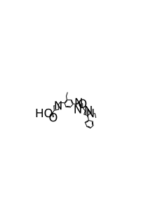 CCc1cc(-c2noc(C3=NN(CC)C(c4ccccc4)C3)n2)ccc1CN1CC(C(=O)O)C1